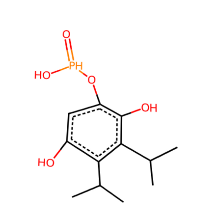 CC(C)c1c(O)cc(O[PH](=O)O)c(O)c1C(C)C